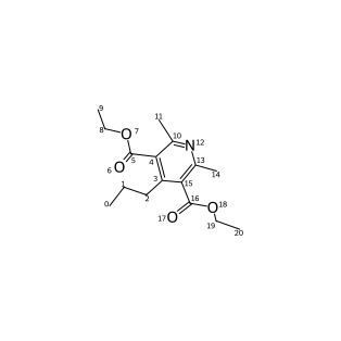 CCCc1c(C(=O)OCC)c(C)nc(C)c1C(=O)OCC